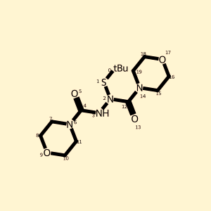 CC(C)(C)SN(NC(=O)N1CCOCC1)C(=O)N1CCOCC1